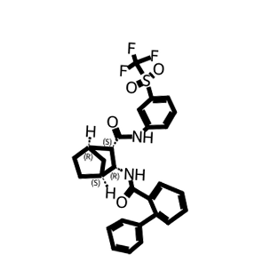 O=C(N[C@@H]1[C@H]2CC[C@H](C2)[C@@H]1C(=O)Nc1cccc(S(=O)(=O)C(F)(F)F)c1)c1ccccc1-c1ccccc1